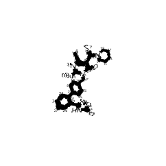 CCCCc1nc(C)c(C(=S)N2CCCCC2)c(=O)n1Cc1ccc(-c2ccccc2-c2noc(=O)[nH]2)cc1